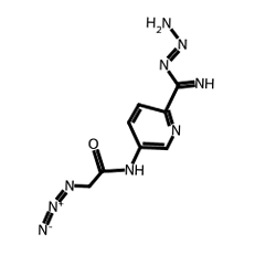 [N-]=[N+]=NCC(=O)Nc1ccc(C(=N)N=NN)nc1